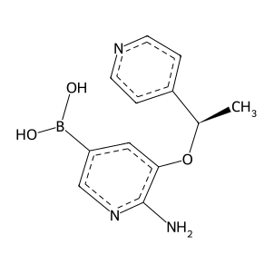 C[C@@H](Oc1cc(B(O)O)cnc1N)c1ccncc1